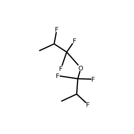 CC(F)C(F)(F)OC(F)(F)C(C)F